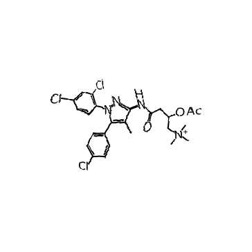 CC(=O)O[C@H](CC(=O)Nc1nn(-c2ccc(Cl)cc2Cl)c(-c2ccc(Cl)cc2)c1C)C[N+](C)(C)C